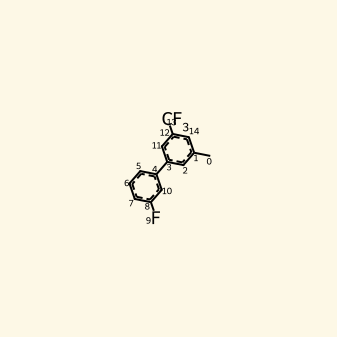 Cc1cc(-c2cccc(F)c2)cc(C(F)(F)F)c1